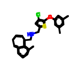 Cc1cc(C)cc(Oc2sc(CNCC3=c4c(C)cccc4=CCC=C3)cc2Cl)c1